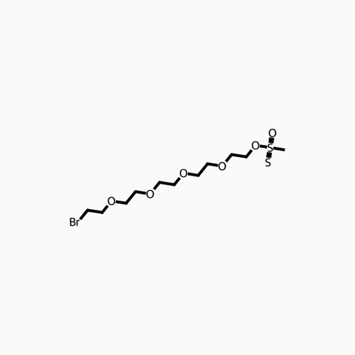 CS(=O)(=S)OCCOCCOCCOCCOCCBr